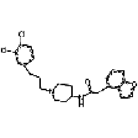 O=C(Cc1cccc2occc12)NC1CCN(CCCc2ccc(Cl)c(Cl)c2)CC1